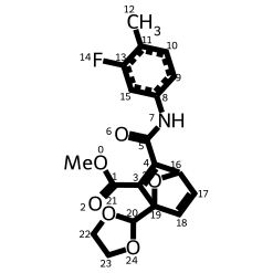 COC(=O)C1=C(C(=O)Nc2ccc(C)c(F)c2)C2C=CC1(C1OCCO1)O2